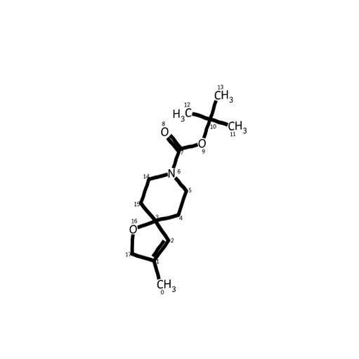 CC1=CC2(CCN(C(=O)OC(C)(C)C)CC2)OC1